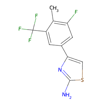 Cc1c(F)cc(-c2csc(N)n2)cc1C(F)(F)F